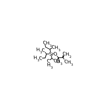 C=C(C)C(=O)O[Si](C(C)C)(C(C)CC)C(C)CC